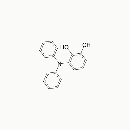 Oc1cccc(N(c2ccccc2)c2ccccc2)c1O